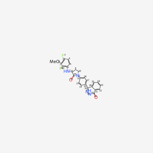 COc1c(F)ccc(NC2CCN(c3ccc(-c4n[nH]c(=O)c5ccccc45)cc3)C2=O)c1F